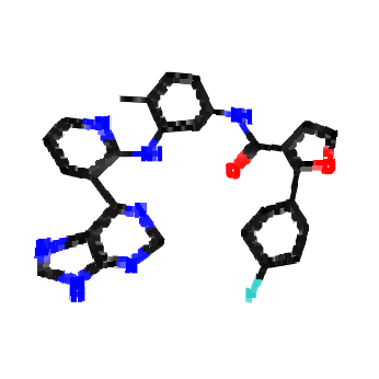 Cc1ccc(NC(=O)c2ccoc2-c2ccc(F)cc2)cc1Nc1ncccc1-c1ncnc2[nH]cnc12